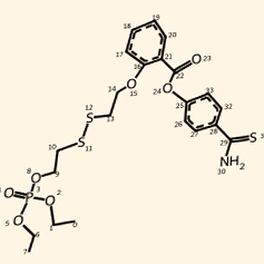 CCOP(=O)(OCC)OCCSSCCOc1ccccc1C(=O)Oc1ccc(C(N)=S)cc1